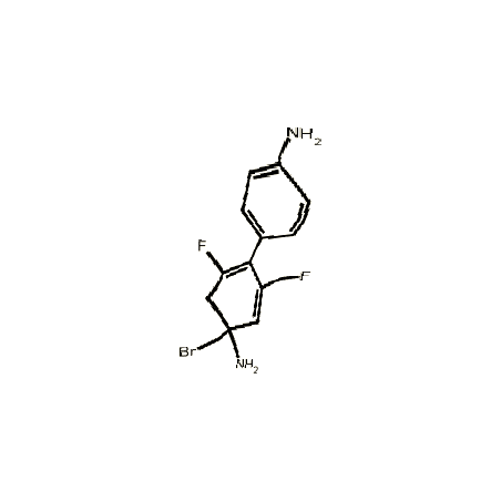 Nc1ccc(C2=C(F)CC(N)(Br)C=C2F)cc1